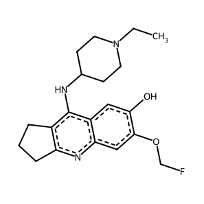 CCN1CCC(Nc2c3c(nc4cc(OCF)c(O)cc24)CCC3)CC1